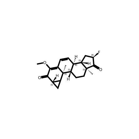 COC1=C2C=C[C@H]3[C@@H]4C[C@@H](F)C(=O)[C@@]4(C)CC[C@@H]3[C@@]2(C)C2C[C@@H]2C1=O